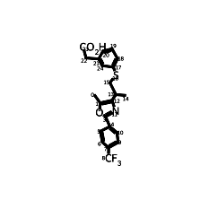 Cc1oc(-c2ccc(C(F)(F)F)cc2)nc1C(C)CSc1cccc(CC(=O)O)c1